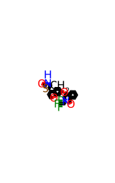 C=C1NC(=O)SC1[C@@H]1CCOc2cc(OC3CN(CC(F)(F)F)C(=O)c4ccccc43)ccc21